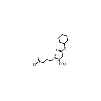 CCN(C)CCCN[C@@H](CC(=O)OC1CCCCC1)C(=O)O